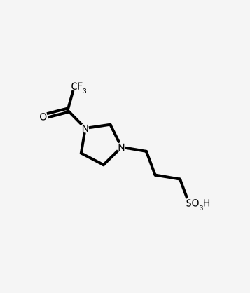 O=C(N1CCN(CCCS(=O)(=O)O)C1)C(F)(F)F